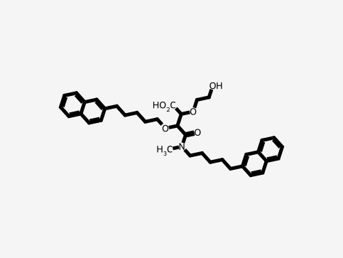 CN(CCCCCc1ccc2ccccc2c1)C(=O)C(OCCCCCc1ccc2ccccc2c1)C(OCCO)C(=O)O